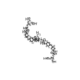 CC(COC(=O)Nc1ccc(Cc2ccc(NC(=O)NCCN(CCO)CCO)cc2)cc1)OC(=O)Nc1ccc(Cc2ccc(NC(=O)NCCN(CCO)CCO)cc2)cc1